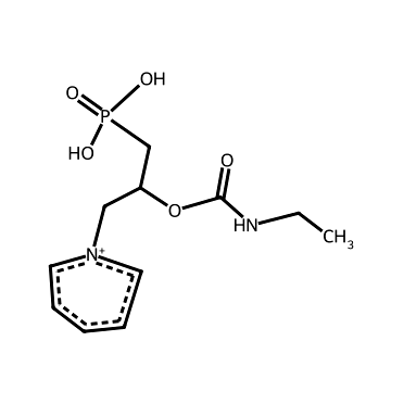 CCNC(=O)OC(C[n+]1ccccc1)CP(=O)(O)O